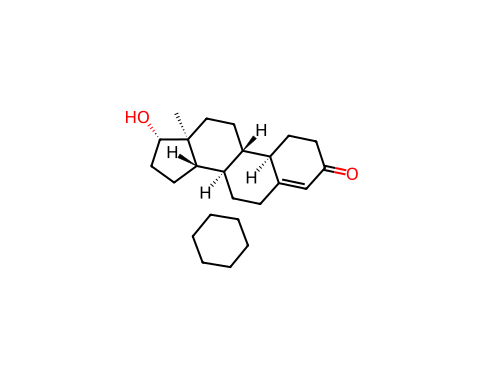 C1CCCCC1.C[C@]12CC[C@H]3[C@@H](CCC4=CC(=O)CC[C@@H]43)[C@@H]1CC[C@@H]2O